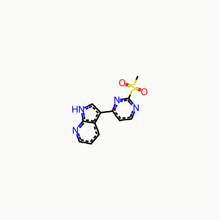 CS(=O)(=O)c1nccc(-c2c[nH]c3ncccc23)n1